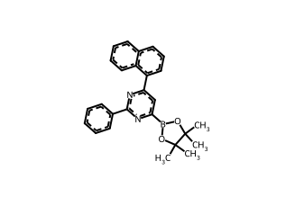 CC1(C)OB(c2cc(-c3cccc4ccccc34)nc(-c3ccccc3)n2)OC1(C)C